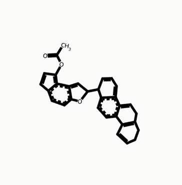 CC(=O)OC1=c2c(ccc3c2=CC(C2C=CC=c4c2ccc2c4=CCC4=C2C=CCC4)O3)C=C1